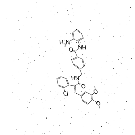 COc1ccc(C=C(C(=O)NCc2ccc(C(=O)Nc3ccccc3N)cc2)c2ccccc2Cl)cc1OC